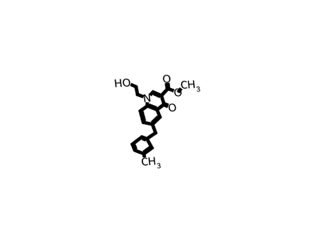 COC(=O)c1cn(CCO)c2ccc(Cc3cccc(C)c3)cc2c1=O